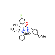 CCCCC1C(C(=O)NCc2ccc(OC)cc2OC)(c2ccc(F)cc2)NN(c2ccccc2)C1(C)C(=O)O